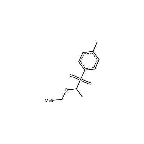 CSCOC(C)S(=O)(=O)c1ccc(C)cc1